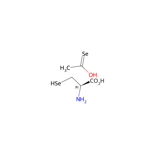 CC(O)=[Se].N[C@@H](C[SeH])C(=O)O